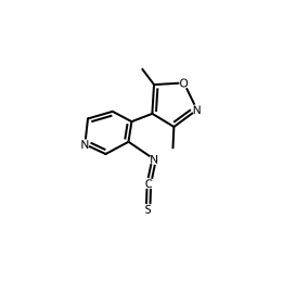 Cc1noc(C)c1-c1ccncc1N=C=S